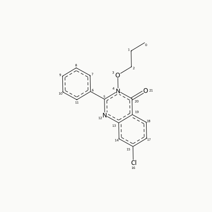 CCCOn1c(-c2ccccc2)nc2cc(Cl)ccc2c1=O